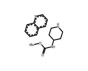 CC(C)(C)OC(=O)NC1CCNCC1.c1ccc2ncccc2c1